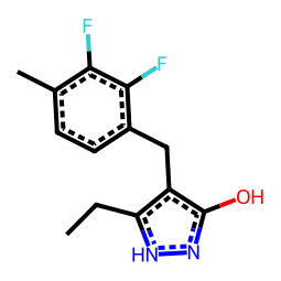 CCc1[nH]nc(O)c1Cc1ccc(C)c(F)c1F